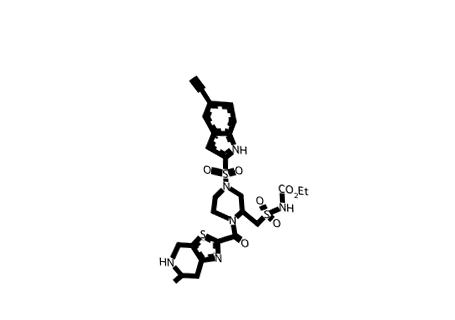 C#Cc1ccc2[nH]c(S(=O)(=O)N3CCN(C(=O)c4nc5c(s4)CNC(C)C5)C(CS(=O)(=O)NC(=O)OCC)C3)cc2c1